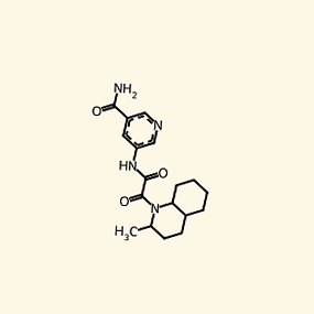 CC1CCC2CCCCC2N1C(=O)C(=O)Nc1cncc(C(N)=O)c1